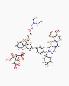 CCN(CC)CCOCCOC(=O)C1(c2ccccc2)CCCC1.COc1ccc(CN2CCN(C(c3ccc(F)cc3)c3ccc(F)cc3)CC2)c(OC)c1OC.O=C(O)CC(O)(CC(=O)O)C(=O)O